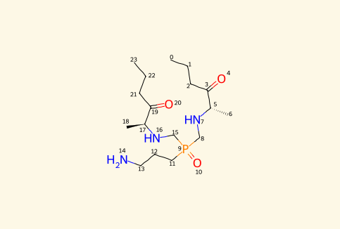 CCCC(=O)[C@H](C)NCP(=O)(CCCN)CN[C@@H](C)C(=O)CCC